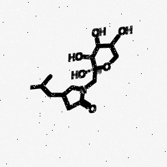 CC(C)CC1CC(=O)N(C[C@]2(O)OCC(O)C(O)C2O)C1